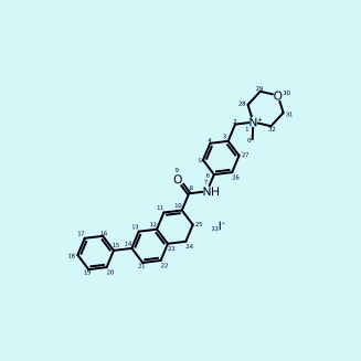 C[N+]1(Cc2ccc(NC(=O)C3=Cc4cc(-c5ccccc5)ccc4CC3)cc2)CCOCC1.[I-]